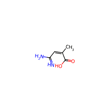 CC(=CC(=N)N)C(=O)O